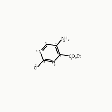 CCOC(=O)c1nc(Cl)ncc1N